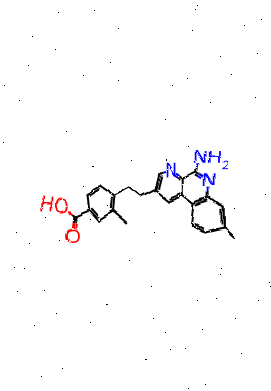 Cc1ccc2c(c1)nc(N)c1ncc(CCc3ccc(C(=O)O)cc3C)cc12